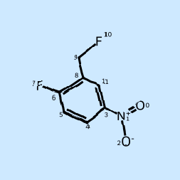 O=[N+]([O-])c1ccc(F)c(CF)c1